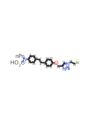 CCCN(C(=O)O)c1ccc(/C=C/c2ccc(OCc3cn(CCF)nn3)cc2)cc1